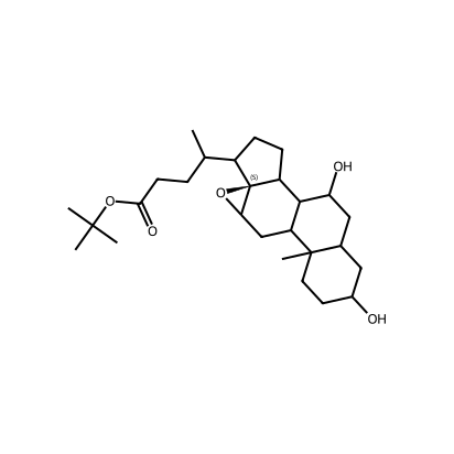 CC(CCC(=O)OC(C)(C)C)C1CCC2C3C(O)CC4CC(O)CCC4(C)C3CC3O[C@@]312